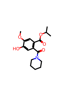 COc1cc(C(=O)OC(C)C)c(C(=O)N2CCCCC2)cc1O